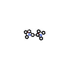 C1=CC2=C(CC1)N(c1ccccc1-c1ccccc1)C1C=CC(c3ccc4c(c3)c3ccccc3n4-c3ccccc3-c3ccccc3)=CC21